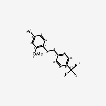 COc1cc(C(C)C)ccc1CCc1ccc(C(C)(F)F)cc1